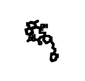 COc1ccc2ncc(C)c([C@@H](O)CCC3(CC(=O)O)CCN(CCSc4ccccn4)CC3)c2c1